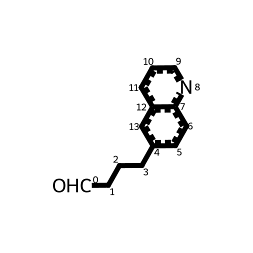 O=CCCCc1ccc2ncccc2c1